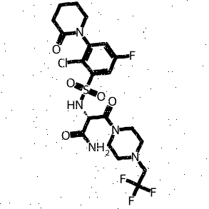 NC(=O)[C@H](NS(=O)(=O)c1cc(F)cc(N2CCCCC2=O)c1Cl)C(=O)N1CCN(CC(F)(F)F)CC1